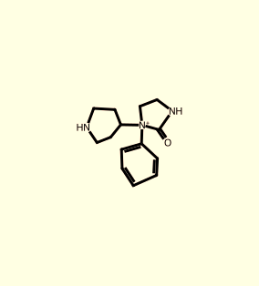 O=C1NCC[N+]1(c1ccccc1)C1CCNCC1